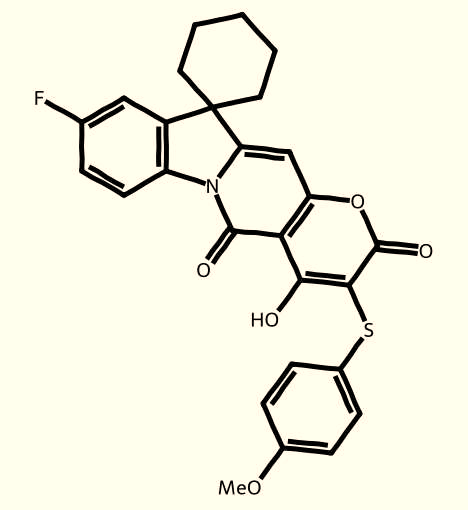 COc1ccc(Sc2c(O)c3c(=O)n4c(cc3oc2=O)C2(CCCCC2)c2cc(F)ccc2-4)cc1